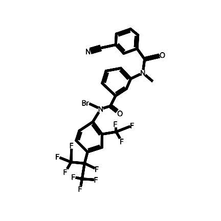 CN(C(=O)c1cccc(C#N)c1)c1cccc(C(=O)N(Br)c2ccc(C(F)(C(F)(F)F)C(F)(F)F)cc2C(F)(F)F)c1